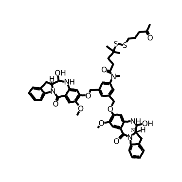 COc1cc2c(cc1OCc1cc(COc3cc4c(cc3OC)C(=O)N3c5ccccc5C[C@H]3C(O)N4)cc(N(C)C(=O)CCC(C)(C)SSCCCC(C)=O)c1)NC(O)[C@@H]1Cc3ccccc3N1C2=O